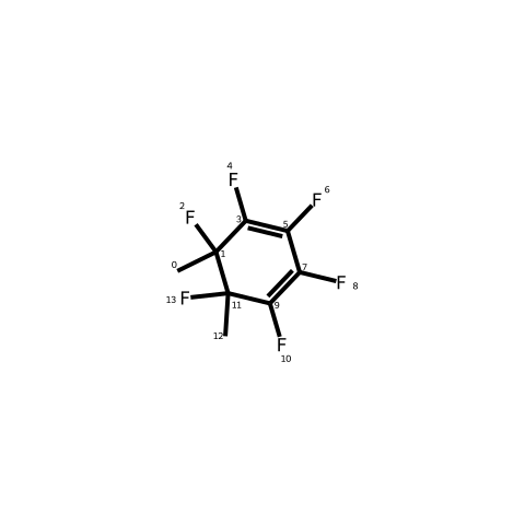 CC1(F)C(F)=C(F)C(F)=C(F)C1(C)F